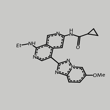 CCNc1ncc(-c2nc3ccc(OC)cn3n2)c2cc(NC(=O)C3CC3)ncc12